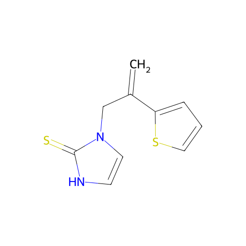 C=C(Cn1cc[nH]c1=S)c1cccs1